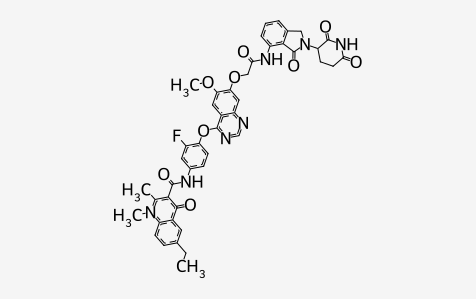 CCc1ccc2c(c1)c(=O)c(C(=O)Nc1ccc(Oc3ncnc4cc(OCC(=O)Nc5cccc6c5C(=O)N(C5CCC(=O)NC5=O)C6)c(OC)cc34)c(F)c1)c(C)n2C